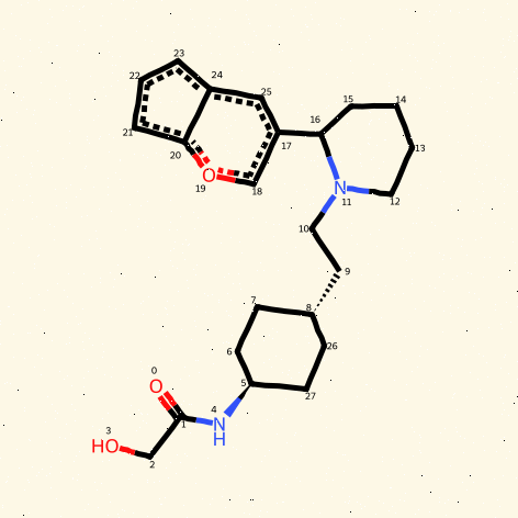 O=C(CO)N[C@H]1CC[C@H](CCN2CCCCC2c2coc3cccc-3c2)CC1